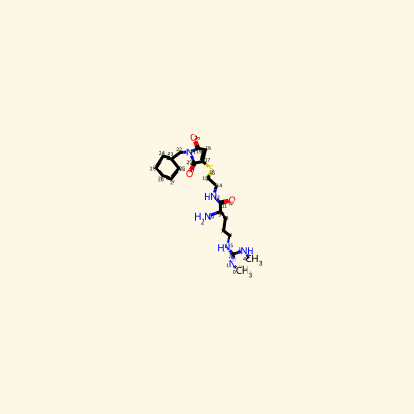 C/N=C(\NC)NCCCC(N)C(=O)NCCSC1=CC(=O)N(CC2CCCCC2)C1=O